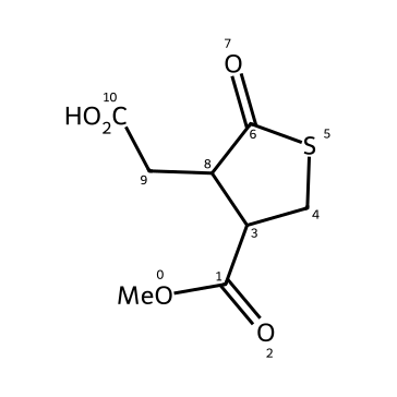 COC(=O)C1CSC(=O)C1CC(=O)O